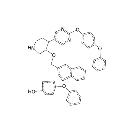 Oc1ccc(Oc2ccccc2)cc1.c1ccc(Oc2ccc(Oc3ncc(C4CCNCC4OCc4ccc5ccccc5c4)cn3)cc2)cc1